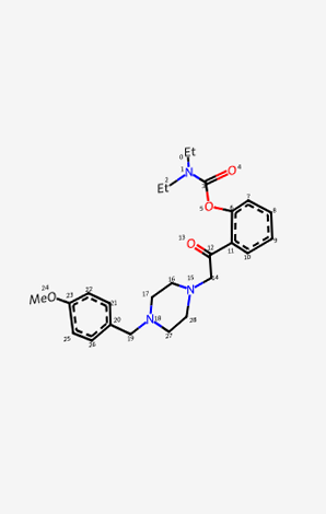 CCN(CC)C(=O)Oc1ccccc1C(=O)CN1CCN(Cc2ccc(OC)cc2)CC1